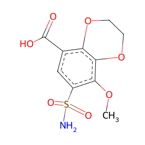 COc1c(S(N)(=O)=O)cc(C(=O)O)c2c1OCCO2